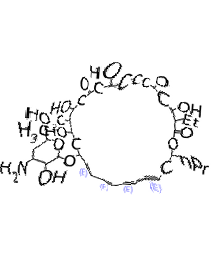 CCCC1C/C=C/C=C/C=C/C=C/C(OC2OC(C)CC(N)C2O)CC(O)C(C(=O)O)C(O)CC(=O)CC(O)CCCC(=O)CC(O)C(CC)C(=O)O1